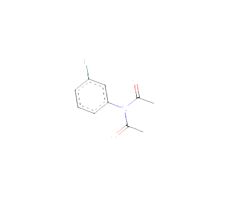 CC(=O)N(C(C)=O)c1cccc(F)c1